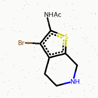 CC(=O)Nc1sc2c(c1Br)CCNC2